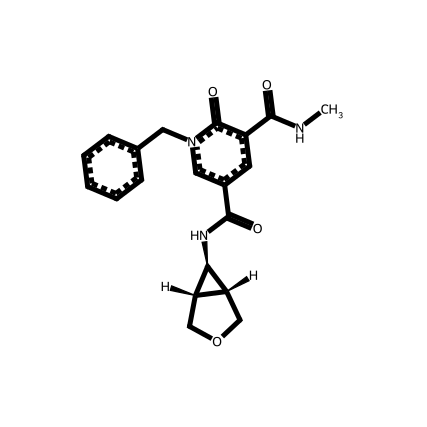 CNC(=O)c1cc(C(=O)N[C@H]2[C@@H]3COC[C@@H]32)cn(Cc2ccccc2)c1=O